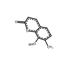 COc1c(C)ccc2ccc(=O)oc12